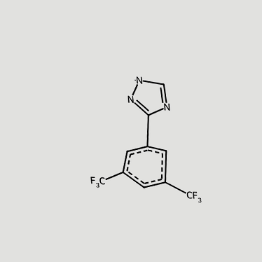 FC(F)(F)c1cc(C2=N[N]C=N2)cc(C(F)(F)F)c1